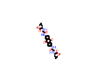 COC(=O)[C@@H](CC(C)C)NCC(=O)Nc1ccc2c(c1)C(=O)c1ccc(NC(=O)CN[C@H](CC(C)C)C(=O)OC)cc1C2=O